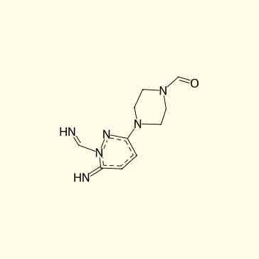 N=Cn1nc(N2CCN(C=O)CC2)ccc1=N